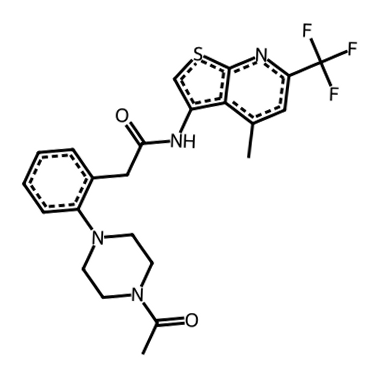 CC(=O)N1CCN(c2ccccc2CC(=O)Nc2csc3nc(C(F)(F)F)cc(C)c23)CC1